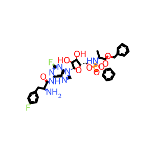 CC(NP(=O)(OC[C@@H]1O[C@H](n2cnc3c(NC(=O)C(N)Cc4ccc(F)cc4)nc(F)nc32)[C@@H](O)[C@@H]1O)Oc1ccccc1)C(=O)OCc1ccccc1